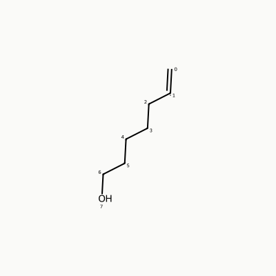 C=[C]CCCCCO